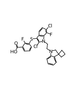 O=C(O)c1cccc(Sc2c(Cl)n(CCN3CC4(CCC4)c4ccccc43)c3c(F)c(Cl)ccc23)c1F